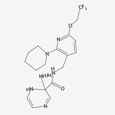 CC(=O)NC1(C(=O)NCc2ccc(OCC(F)(F)F)nc2N2CCCCC2)C=NC=CN1